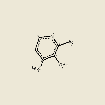 COc1ccnc(C(C)=O)c1OC(C)=O